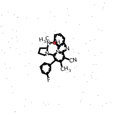 Cc1c(-c2cccc(F)c2)c(N2CCCC2N(C)C)n2c(nc3ccccc32)c1C#N